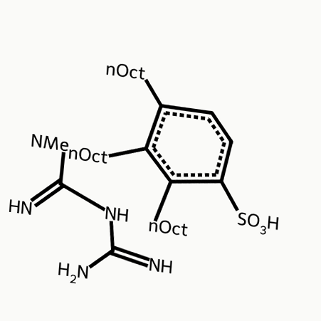 CCCCCCCCc1ccc(S(=O)(=O)O)c(CCCCCCCC)c1CCCCCCCC.CNC(=N)NC(=N)N